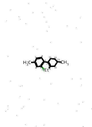 CCC1=C(c2ccc(C)cc2F)CCC(C)C1